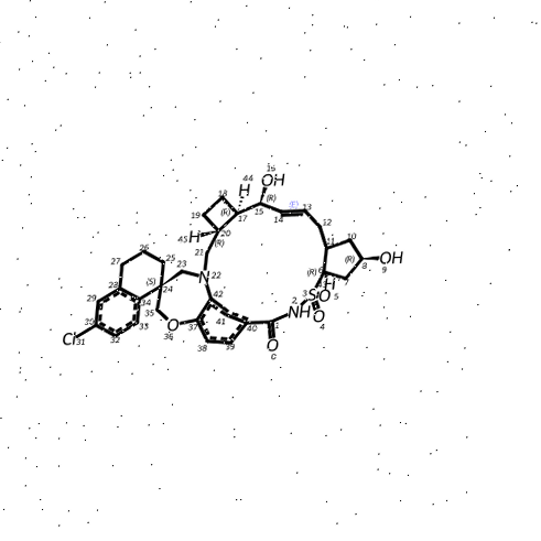 O=C1NS(=O)(=O)[C@@H]2C[C@H](O)CC2C/C=C/[C@H](O)[C@@H]2CC[C@H]2CN2C[C@@]3(CCCc4cc(Cl)ccc43)COc3ccc1cc32